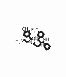 Cc1ccc(C(=O)N(CCN)C[C@H]2CC[C@@H]3[C@H](O2)c2cc(C(F)(F)F)ccc2N[C@H]3C2C=CC=CC2)cc1